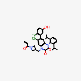 C=CC(=O)N1CC(Cn2c(=O)c(=O)n(-c3c(C(C)C)cccc3C(C)C)c3cc(-c4cc(O)ccc4Cl)c(Cl)cc32)C1